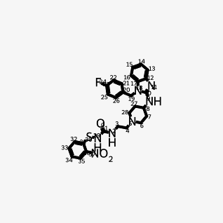 O=C(NCCN1CCC(Nc2nc3ccccc3n2Cc2ccc(F)cc2)CC1)NSc1ccccc1[N+](=O)[O-]